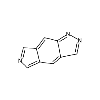 C1=NC=c2cc3c(cc21)=NN=C3